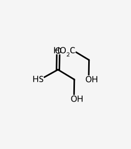 O=C(O)CO.O=C(S)CO